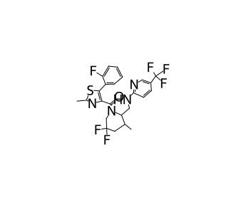 Cc1nc(C(=O)N2CC(F)(F)CC(C)C2CNc2ccc(C(F)(F)F)cn2)c(-c2ccccc2F)s1